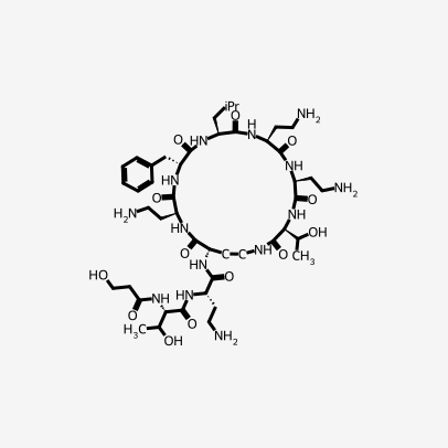 CC(C)C[C@@H]1NC(=O)[C@@H](Cc2ccccc2)NC(=O)[C@H](CCN)NC(=O)[C@@H](NC(=O)[C@H](CCN)NC(=O)[C@@H](NC(=O)CCO)C(C)O)CCNC(=O)[C@H](C(C)O)NC(=O)[C@H](CCN)NC(=O)[C@H](CCN)NC1=O